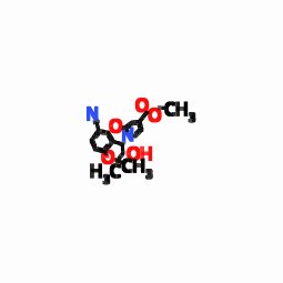 CCOC(=O)c1ccn([C@@H]2c3cc(C#N)ccc3OC(C)(C)[C@H]2O)c(=O)c1